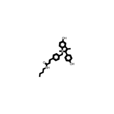 CCCCNC(=O)/C=C/c1ccc(C[N+]2(C)C(c3ccc(O)cc3)=C(C)c3cc(O)ccc32)cc1